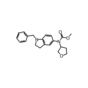 COC(=O)N(c1ccc2c(c1)CCN2Cc1ccccc1)C1CCOC1